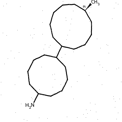 C[C@@H]1CCCCCC(C2CCCCC(N)CCCC2)CCCC1